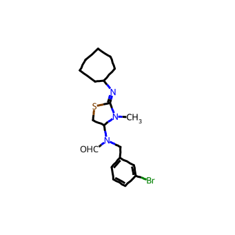 CN1C(=NC2CCCCCC2)SCC1N(C=O)Cc1cccc(Br)c1